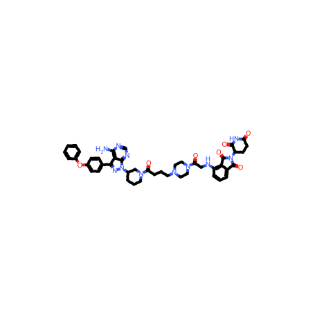 Nc1ncnc2c1c(-c1ccc(Oc3ccccc3)cc1)nn2C1CCCN(C(=O)CCCN2CCN(C(=O)CNc3cccc4c3C(=O)N(C3CCC(=O)NC3=O)C4=O)CC2)C1